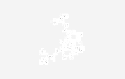 Br.Br.N=C(N)SCc1cccc2c1oc1c(CSC(=N)N)cccc12